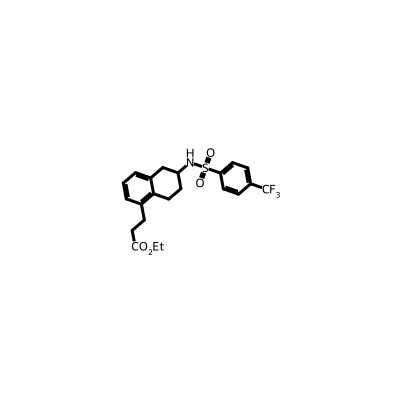 CCOC(=O)CCc1cccc2c1CCC(NS(=O)(=O)c1ccc(C(F)(F)F)cc1)C2